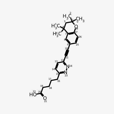 CC1(C)CC(C)(C)c2cc(C#Cc3ccc(CCCCC(=O)O)nn3)ccc2O1